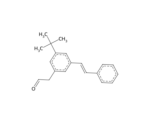 CC(C)(C)c1cc(C=Cc2ccccc2)cc(CC=O)c1